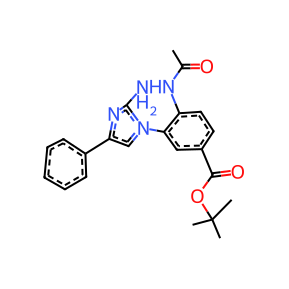 CC(=O)Nc1ccc(C(=O)OC(C)(C)C)cc1-n1cc(-c2ccccc2)nc1N